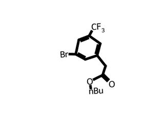 CCCCOC(=O)Cc1cc(Br)cc(C(F)(F)F)c1